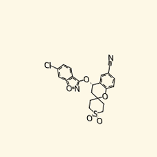 N#Cc1ccc2c(c1)[C@@H](Oc1noc3cc(Cl)ccc13)CC1(CCS(=O)(=O)CC1)O2